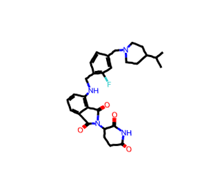 CC(C)C1CCN(Cc2ccc(CNc3cccc4c3C(=O)N(C3CCC(=O)NC3=O)C4=O)c(F)c2)CC1